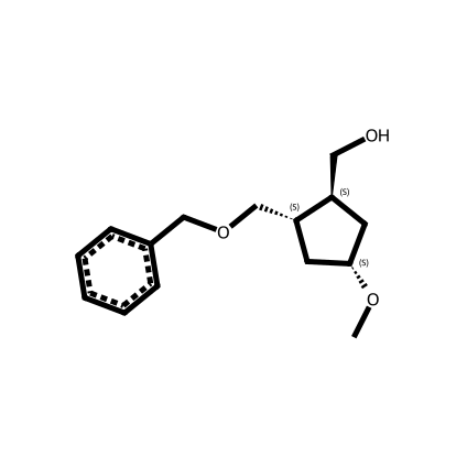 CO[C@H]1C[C@H](CO)[C@@H](COCc2ccccc2)C1